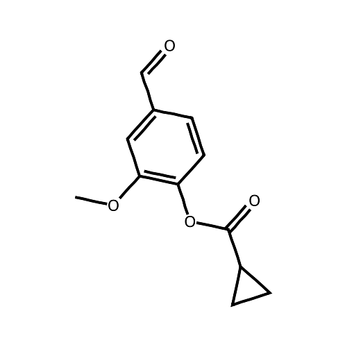 COc1cc(C=O)ccc1OC(=O)C1CC1